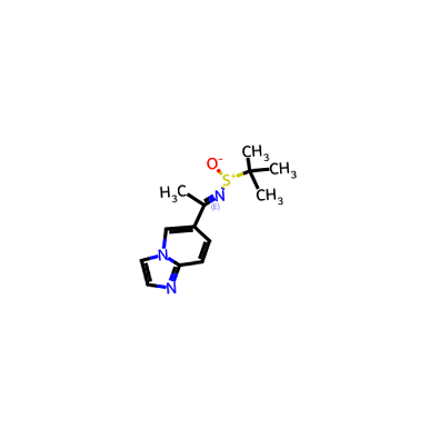 C/C(=N\[S+]([O-])C(C)(C)C)c1ccc2nccn2c1